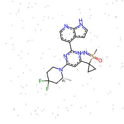 C[C@@H]1CC(F)(F)CCN1c1cc(C2(S(C)(=N)=O)CC2)nc(-c2ccnc3[nH]ccc23)n1